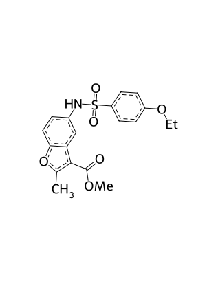 CCOc1ccc(S(=O)(=O)Nc2ccc3oc(C)c(C(=O)OC)c3c2)cc1